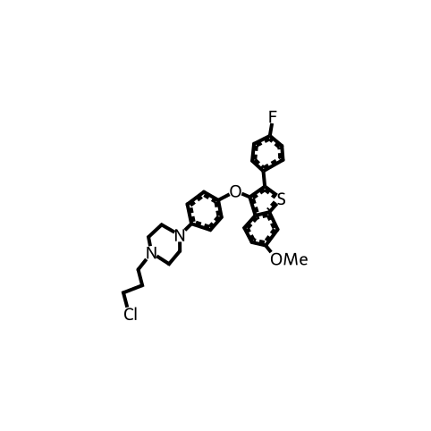 COc1ccc2c(Oc3ccc(N4CCN(CCCCl)CC4)cc3)c(-c3ccc(F)cc3)sc2c1